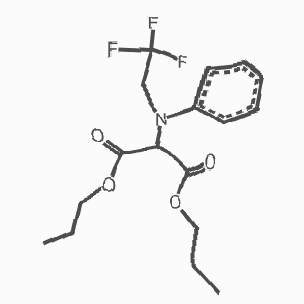 CCCOC(=O)C(C(=O)OCCC)N(CC(F)(F)F)c1ccccc1